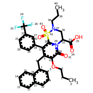 CCCOc1c(Cc2cccc3ccccc23)c(-c2cccc(C(F)(F)F)c2)c2n(c1=O)C(C(=O)O)CN(CCC)S2(=O)=O